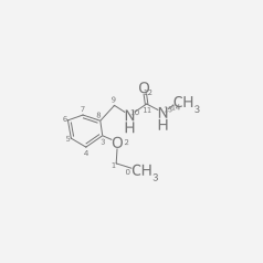 CCOc1ccccc1CNC(=O)NC